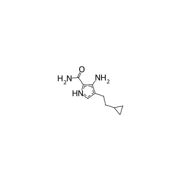 NC(=O)c1[nH]cc(CCC2CC2)c1N